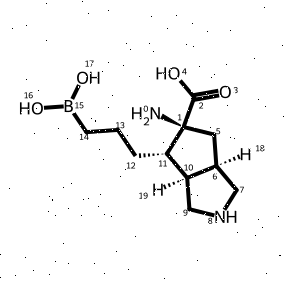 N[C@@]1(C(=O)O)C[C@H]2CNC[C@H]2[C@@H]1CCCB(O)O